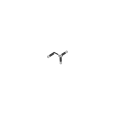 O=[CH][Mo](=[O])=[O]